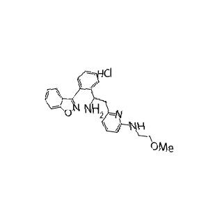 COCCNc1cccc(CC(N)c2ccccc2-c2noc3ccccc23)n1.Cl